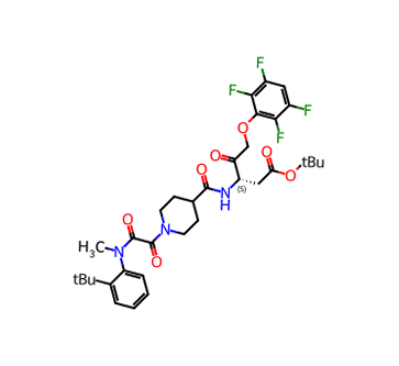 CN(C(=O)C(=O)N1CCC(C(=O)N[C@@H](CC(=O)OC(C)(C)C)C(=O)COc2c(F)c(F)cc(F)c2F)CC1)c1ccccc1C(C)(C)C